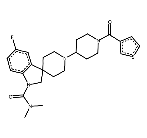 CN(C)C(=O)N1CC2(CCN(C3CCN(C(=O)c4ccsc4)CC3)CC2)c2cc(F)ccc21